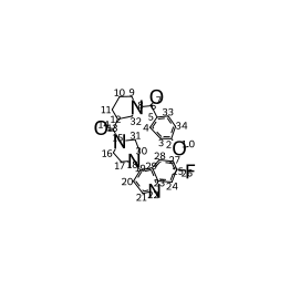 COc1ccc(C(=O)N2CCCC(C(=O)N3CCN(c4ccnc5cc(F)ccc45)CC3)C2)cc1